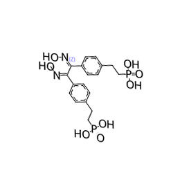 O=P(O)(O)CCc1ccc(C(=NO)/C(=N\O)c2ccc(CCP(=O)(O)O)cc2)cc1